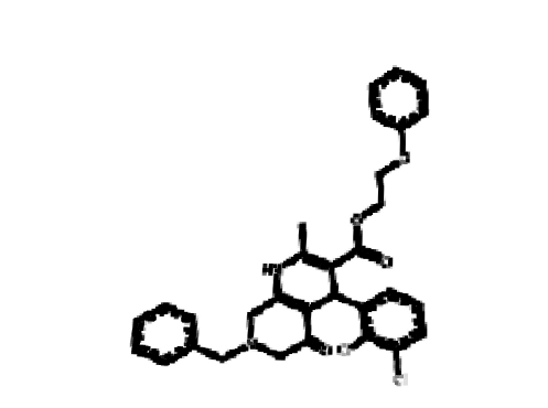 CC1=C(C(=O)OCCOc2ccccc2)C(c2cccc(Cl)c2Cl)C2=C(CN(Cc3ccccc3)CC2=O)N1